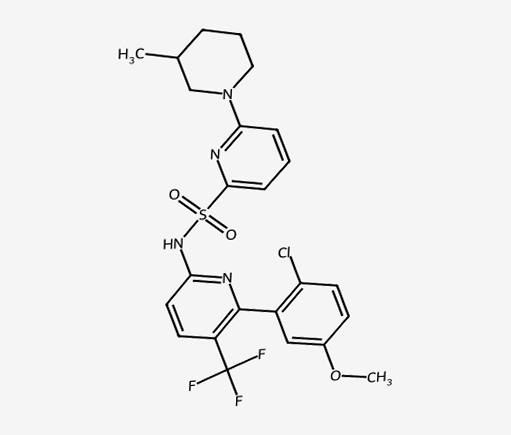 COc1ccc(Cl)c(-c2nc(NS(=O)(=O)c3cccc(N4CCCC(C)C4)n3)ccc2C(F)(F)F)c1